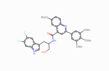 COc1ccc2nc(-c3cc(OC)c(OC)c(OC)c3)cc(C(=O)NC(CO)Cc3c[nH]c4cc(F)c(F)cc34)c2c1